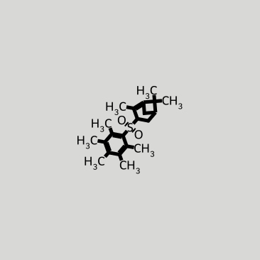 CC1=C2CC(CC1S(=O)(=O)c1c(C)c(C)c(C)c(C)c1C)C2(C)C